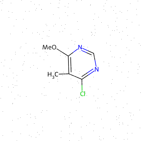 COc1ncnc(Cl)c1C